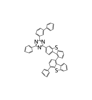 c1ccc(-c2cccc(-c3nc(-c4ccccc4)nc(-c4ccc5c(c4)sc4cccc(-c6ccc(-c7ccccc7)c7sc8ccccc8c67)c45)n3)c2)cc1